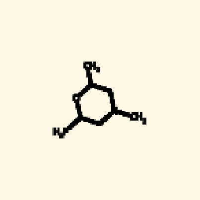 CC1CN(C)CC(P)O1